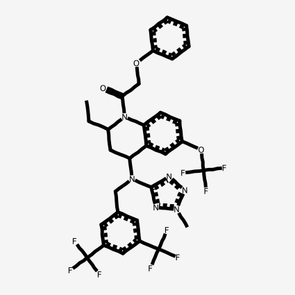 CCC1CC(N(Cc2cc(C(F)(F)F)cc(C(F)(F)F)c2)c2nnn(C)n2)c2cc(OC(F)(F)F)ccc2N1C(=O)COc1ccccc1